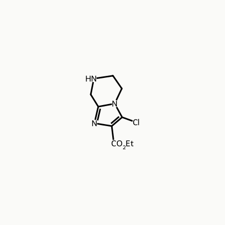 CCOC(=O)c1nc2n(c1Cl)CCNC2